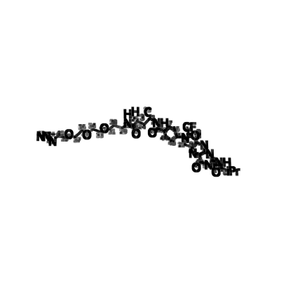 CC(C)C(=O)Nc1nc2ncc(CN(C(=O)C(F)(F)F)c3ccc(C(=O)N[C@H](C)CCC(=O)NCCCOCCOCCOCCN=[N+]=[N-])cc3)nc2c(=O)[nH]1